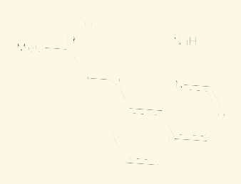 CO[PH](=O)OOc1cccc2cccnc12.[NaH]